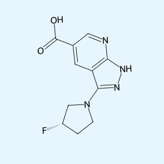 O=C(O)c1cnc2[nH]nc(N3CC[C@H](F)C3)c2c1